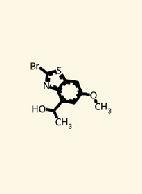 COc1cc(C(C)O)c2nc(Br)sc2c1